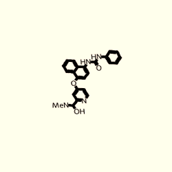 CNC(O)c1cc(Oc2ccc(NC(=O)Nc3ccccc3)c3ccccc23)ccn1